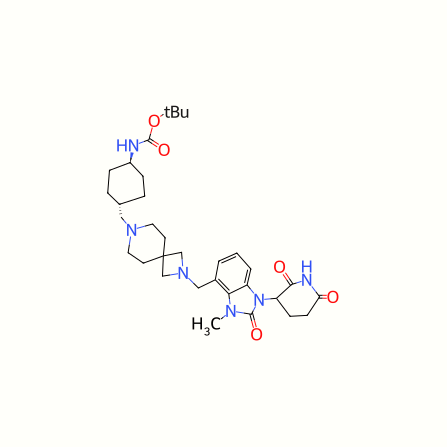 Cn1c(=O)n(C2CCC(=O)NC2=O)c2cccc(CN3CC4(CCN(C[C@H]5CC[C@H](NC(=O)OC(C)(C)C)CC5)CC4)C3)c21